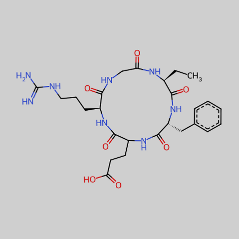 CC[C@@H]1NC(=O)CNC(=O)[C@H](CCCNC(=N)N)NC(=O)C(CCC(=O)O)NC(=O)[C@@H](Cc2ccccc2)NC1=O